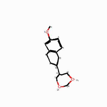 COc1ccc2c(c1)CCC(C1COCOC1)C2